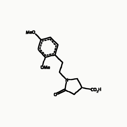 COc1ccc(CCN2CC(C(=O)O)CC2=O)c(OC)c1